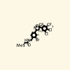 CSCC(=O)NCc1ccc(C2=NOC(c3cc(Cl)c(Cl)c(C(F)(F)F)c3)(C(F)(F)F)C2)cc1Br